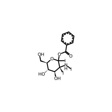 O=C(OC1(I)O[C@H](CO)[C@@H](O)[C@H](O)[C@@]1(I)NI)c1ccccc1